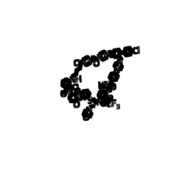 CC1(CN2CCN(C(=O)CN3CCN(C(=O)CCCCNc4cccc5c4C(=O)N(C4CCC(=O)NC4=O)C5=O)CC3)CC2)CCC(c2ccc(Cl)cc2)=C(CN2CCN(c3ccc(C(=O)NS(=O)(=O)c4ccc(N[C@H](CCN5CCOCC5)CSc5ccccc5)c(S(=O)(=O)C(F)(F)F)c4)cc3)CC2)C1